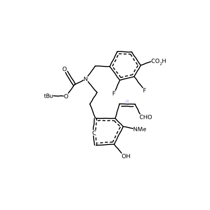 CNc1c(O)ccc(CCN(Cc2ccc(C(=O)O)c(F)c2F)C(=O)OC(C)(C)C)c1/C=C\C=O